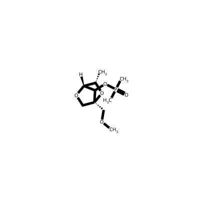 COC[C@]12CO[C@@H](C1OP(C)(C)=O)[C@H](C)O2